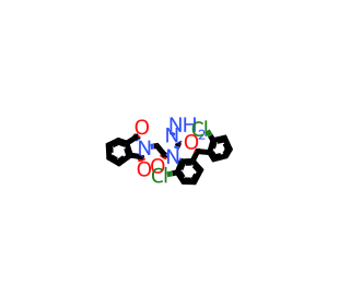 NN=CN(C(=O)CN1C(=O)c2ccccc2C1=O)c1c(Cl)cccc1C(=O)c1ccccc1Cl